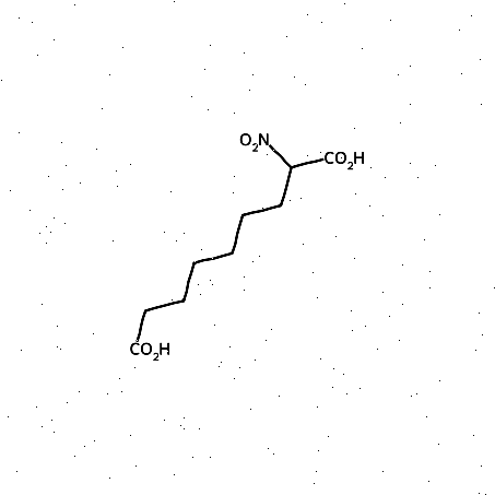 O=C(O)CCCCCCC(C(=O)O)[N+](=O)[O-]